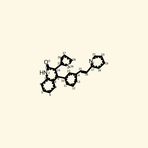 O=c1[nH]c2ccccc2c(-c2cccc(C=Cc3ccccn3)c2)c1-c1cccs1